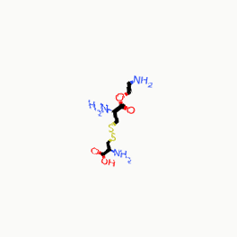 NCCOC(=O)[C@@H](N)CSSC[C@@H](N)C(=O)O